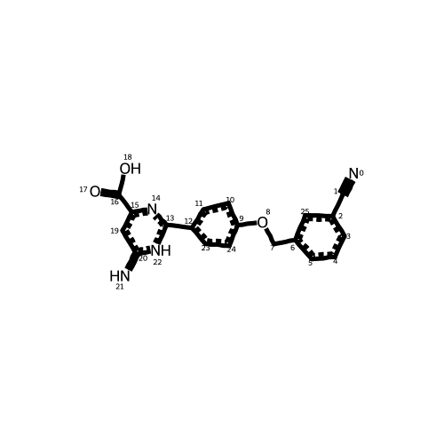 N#Cc1cccc(COc2ccc(-c3nc(C(=O)O)cc(=N)[nH]3)cc2)c1